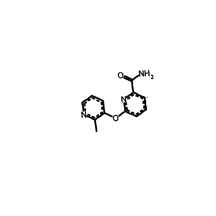 Cc1ncccc1Oc1cc[c]c(C(N)=O)n1